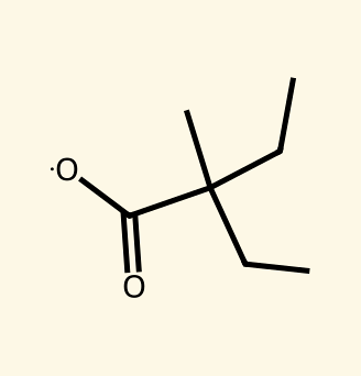 CCC(C)(CC)C([O])=O